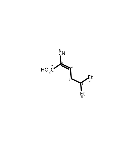 CCC(CC)CC=C(C#N)C(=O)O